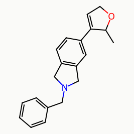 CC1OCC=C1c1ccc2c(c1)CN(Cc1ccccc1)C2